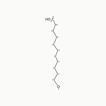 [O]CCCCCCCCCCC(=O)O